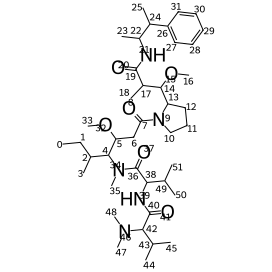 CCC(C)C(C(CC(=O)N1CCCC1C(OC)C(C)C(=O)NC(C)C(C)c1ccccc1)OC)N(C)C(=O)C(NC(=O)C(C(C)C)N(C)C)C(C)C